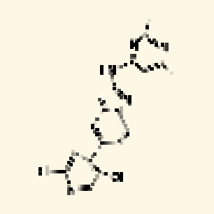 Cc1cc(Nc2cc3cc(-c4cc(Cl)ncc4O)ccn3n2)nc(C)n1